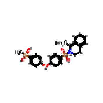 CS(=O)(=O)c1ccc(Oc2ccc(S(=O)(=O)N3CCc4ccccc4[C@@H]3C(=O)O)cc2)cc1